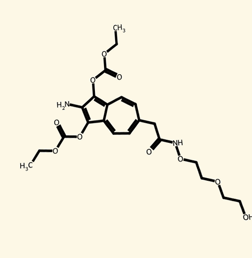 CCOC(=O)Oc1c2ccc(CC(=O)NOCCOCCO)ccc-2c(OC(=O)OCC)c1N